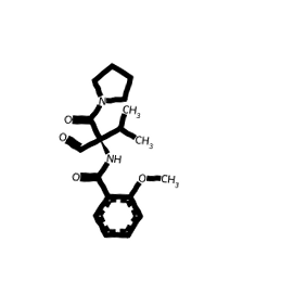 COc1ccccc1C(=O)N[C@@](C=O)(C(=O)N1CCCC1)C(C)C